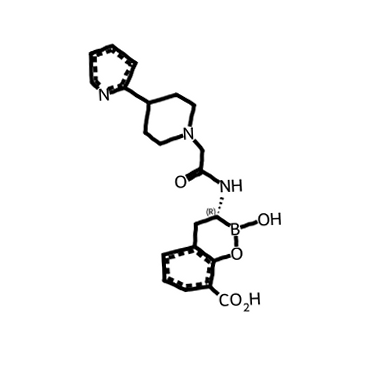 O=C(CN1CCC(c2ccccn2)CC1)N[C@H]1Cc2cccc(C(=O)O)c2OB1O